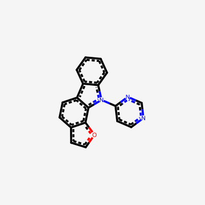 c1ccc2c(c1)c1ccc3ccoc3c1n2-c1ccncn1